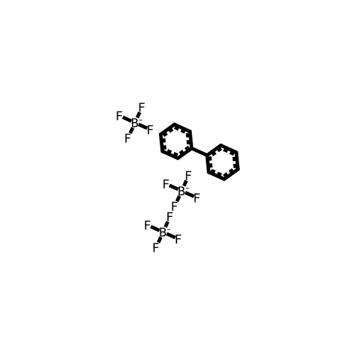 F[B-](F)(F)F.F[B-](F)(F)F.F[B-](F)(F)F.c1ccc(-c2ccccc2)cc1